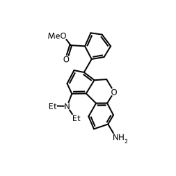 CCN(CC)c1ccc(-c2ccccc2C(=O)OC)c2c1-c1ccc(N)cc1OC2